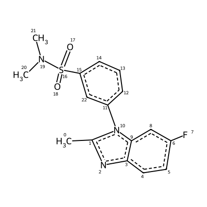 Cc1nc2ccc(F)cc2n1-c1cccc(S(=O)(=O)N(C)C)c1